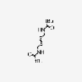 CC(C)(C)C(=O)NCSSCNC(=O)C(C)(C)C